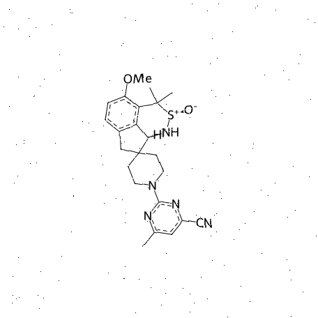 COc1ccc2c3c1C(C)(C)[S@@+]([O-])N[C@H]3C1(CCN(c3nc(C)cc(C#N)n3)CC1)C2